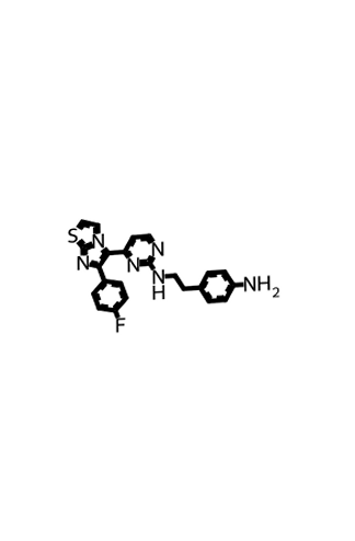 Nc1ccc(CCNc2nccc(-c3c(-c4ccc(F)cc4)nc4sccn34)n2)cc1